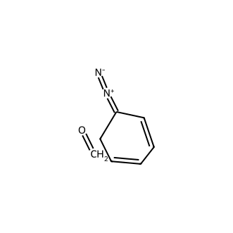 C=O.[N-]=[N+]=C1C=CC=CC1